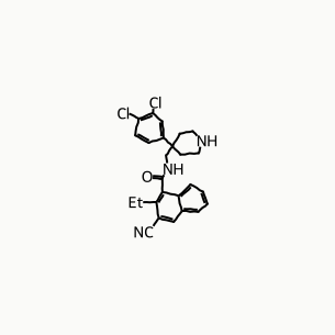 CCc1c(C#N)cc2ccccc2c1C(=O)NCC1(c2ccc(Cl)c(Cl)c2)CCNCC1